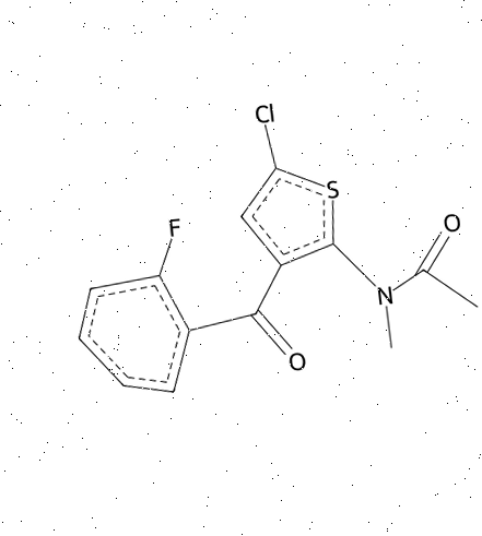 CC(=O)N(C)c1sc(Cl)cc1C(=O)c1ccccc1F